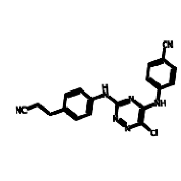 N#CCCc1ccc(Nc2nnc(Cl)c(Nc3ccc(C#N)cc3)n2)cc1